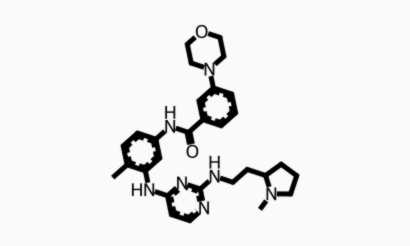 Cc1ccc(NC(=O)c2cccc(N3CCOCC3)c2)cc1Nc1ccnc(NCCC2CCCN2C)n1